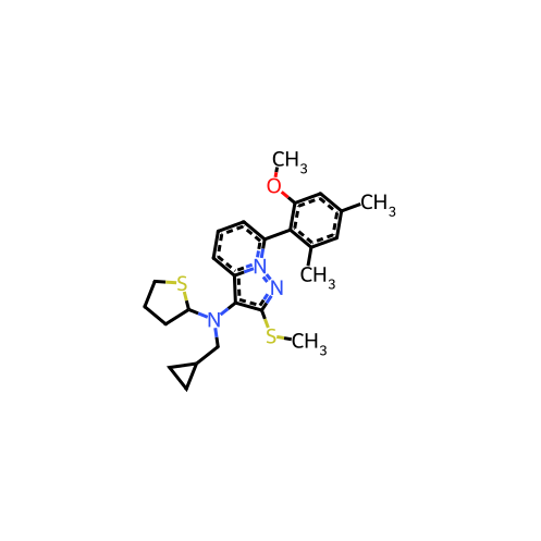 COc1cc(C)cc(C)c1-c1cccc2c(N(CC3CC3)C3CCCS3)c(SC)nn12